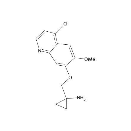 COc1cc2c(Cl)ccnc2cc1OCC1(N)CC1